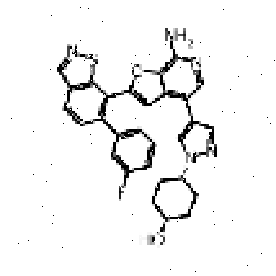 Nc1ncc(-c2cnn([C@H]3CC[C@H](O)CC3)c2)c2cc(-c3c(-c4cccc(F)c4)ccc4cnsc34)oc12